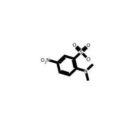 CN(C)c1ccc([N+](=O)[O-])cc1S(=O)(=O)Cl